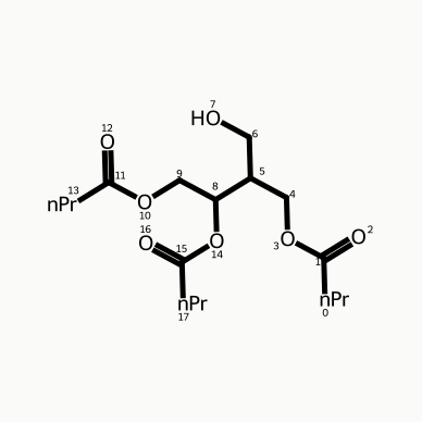 CCCC(=O)OCC(CO)C(COC(=O)CCC)OC(=O)CCC